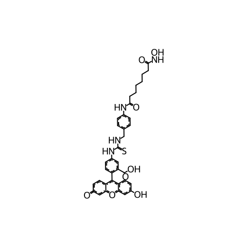 O=C(CCCCCCC(=O)Nc1ccc(CNC(=S)Nc2ccc(-c3c4ccc(=O)cc-4oc4cc(O)ccc34)c(C(=O)O)c2)cc1)NO